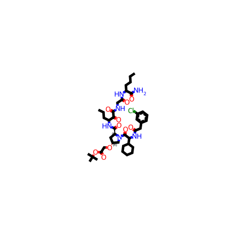 CCCCC(NC(=O)CNC(=O)C(=O)C(CCC)NC(=O)[C@@H]1C[C@@H](OCC(=O)OC(C)(C)C)CN1C(=O)C(NC(=O)Cc1cccc(Cl)c1)C1CCCCC1)C(N)=O